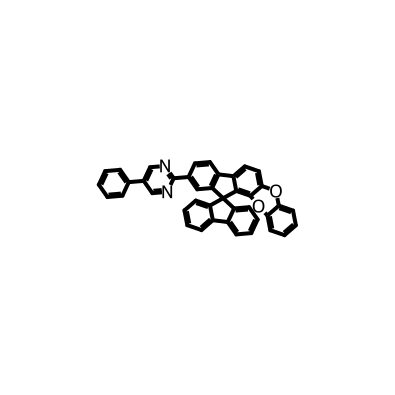 c1ccc(-c2cnc(-c3ccc4c(c3)C3(c5ccccc5-c5ccccc53)c3c-4ccc4c3Oc3ccccc3O4)nc2)cc1